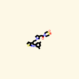 Cc1cc(C)cc(-c2[nH]c3sccc3c2CCN2CCC(CC(=O)N3CCS(=O)(=O)CC3)C2)c1